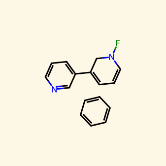 FN1C=CC=C(c2cccnc2)C1.c1ccccc1